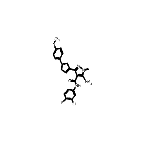 Cn1nc(C2=CCC(c3ccc(OC(F)(F)F)cc3)C2)c(C(=O)Nc2ccc(F)c(Cl)c2)c1N